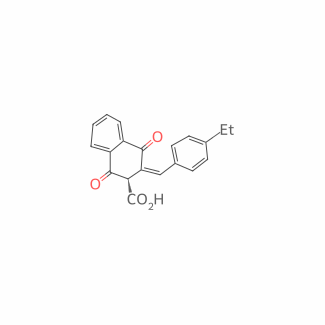 CCc1ccc(C=C2C(=O)c3ccccc3C(=O)[C@@H]2C(=O)O)cc1